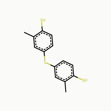 Cc1cc(Sc2ccc(S)c(C)c2)ccc1S